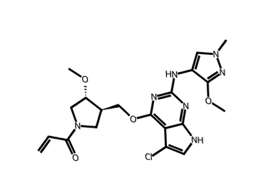 C=CC(=O)N1C[C@H](COc2nc(Nc3cn(C)nc3OC)nc3[nH]cc(Cl)c23)[C@@H](OC)C1